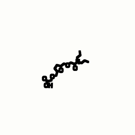 CCCN(CCC)C(=O)COCC1CCC(COCC(=O)O)O1